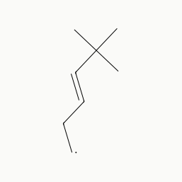 [CH2]CC=CC(C)(C)C